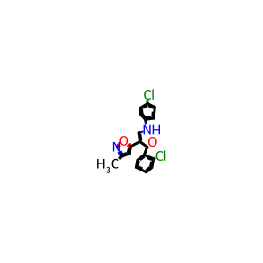 Cc1cc(C(=CNc2ccc(Cl)cc2)C(=O)c2ccccc2Cl)on1